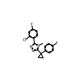 Cn1c(-c2ccc(F)cc2Cl)nnc1C1(c2ccc(F)cc2)CC1